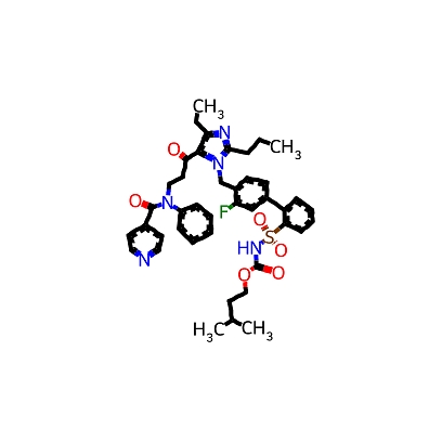 CCCc1nc(CC)c(C(=O)CCN(C(=O)c2ccncc2)c2ccccc2)n1Cc1ccc(-c2ccccc2S(=O)(=O)NC(=O)OCCC(C)C)cc1F